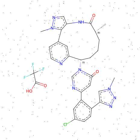 C[C@@H]1CCC[C@H](n2cnc(-c3cc(Cl)ccc3-c3cn(C)nn3)cc2=O)c2cc(ccn2)-c2c(cnn2C)NC1=O.O=C(O)C(F)(F)F